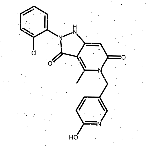 Cc1c2c(=O)n(-c3ccccc3Cl)[nH]c2cc(=O)n1Cc1ccc(O)nc1